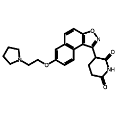 O=C1CCC(c2noc3ccc4cc(OCCN5CCCC5)ccc4c23)C(=O)N1